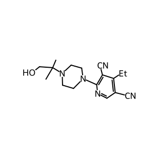 CCc1c(C#N)cnc(N2CCN(C(C)(C)CO)CC2)c1C#N